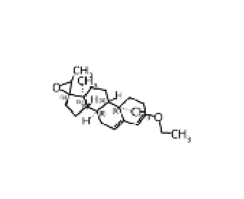 CCOC1=CC2=CC[C@@H]3[C@H](CC[C@@]4(C)[C@H]3CC[C@]43OC3C)[C@@]2(C)CC1